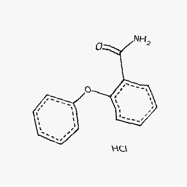 Cl.NC(=O)c1ccccc1Oc1ccccc1